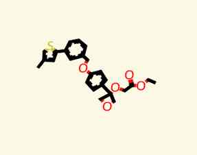 CCOC(=O)COC1(c2ccc(OCc3cccc(-c4cc(C)cs4)c3)cc2)COC1